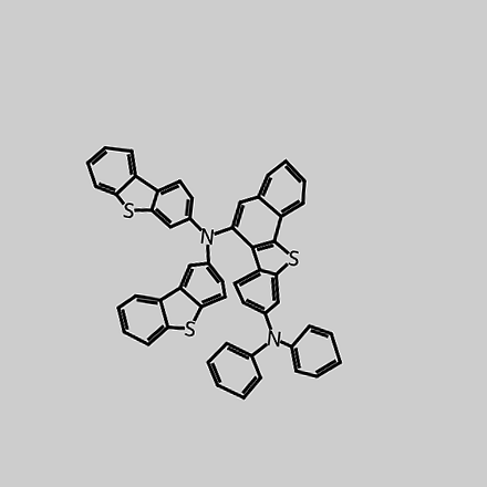 c1ccc(N(c2ccccc2)c2ccc3c(c2)sc2c4ccccc4cc(N(c4ccc5c(c4)sc4ccccc45)c4ccc5sc6ccccc6c5c4)c32)cc1